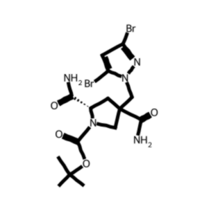 CC(C)(C)OC(=O)N1CC(Cn2nc(Br)cc2Br)(C(N)=O)C[C@H]1C(N)=O